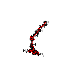 B[P@]1(=O)OC[C@H]2O[C@@H](n3cnc4c(N)ccnc43)[C@H](F)[C@@H]2O[P@](=O)(SCc2ccc(NC(=O)CNC(=O)CCCCCn3nnc4c3-c3ccccc3CN(C(=O)CCNC(=O)CCCCC(=O)NCC(=O)Nc3ccc(COC(=O)NCCCOCC(O)COP(C)(=O)O)cc3)c3ccccc3-4)cc2)OC[C@H]2O[C@@H](n3cnc4c(N)ncnc43)[C@H](F)[C@@H]2O1